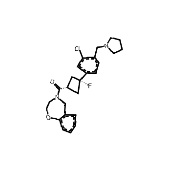 O=C([C@H]1C[C@](F)(c2ccc(CN3CCCC3)c(Cl)c2)C1)N1CCOc2ccccc2C1